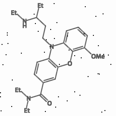 CCNC(CC)CCN1c2ccc(C(=O)N(CC)CC)cc2Oc2c(OC)cccc21